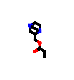 C=CC(=O)OCC1CN2CCN1CC2